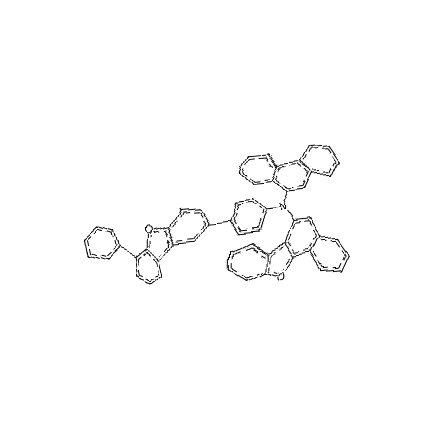 c1ccc(-c2cccc3c2oc2ccc(-c4ccc(N(c5cc6ccccc6c6ccccc56)c5cc6ccccc6c6oc7ccccc7c56)cc4)cc23)cc1